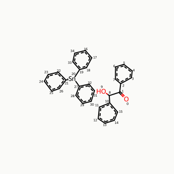 O=C(c1ccccc1)C(O)c1ccccc1.c1cc[c]([Sn]([c]2ccccc2)[c]2ccccc2)cc1